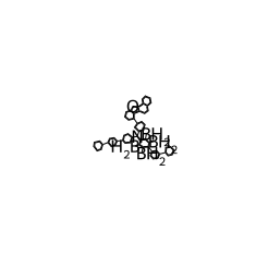 Bc1c(B)c(N(c2ccc(-c3ccc(-c4ccccc4)cc3)cc2)c2cccc(-c3cccc4oc5c6ccccc6ccc5c34)c2)c(B)c(B)c1-c1cccc(-c2ccccc2)c1